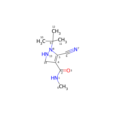 CNC(=O)C1=C(C#N)N(C(C)(C)C)NC1